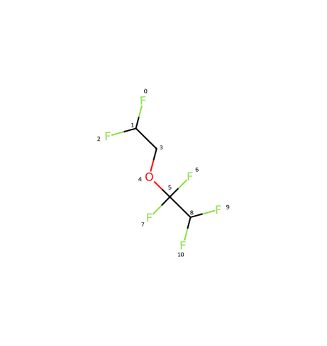 FC(F)COC(F)(F)C(F)F